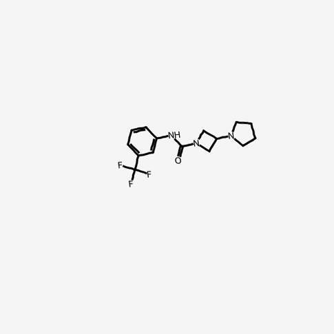 O=C(Nc1cccc(C(F)(F)F)c1)N1CC(N2CCCC2)C1